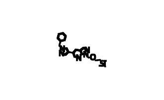 C[Si](C)(C)CCOCn1ncc2cc(-c3cnn(Cc4ccccc4)c3)cnc21